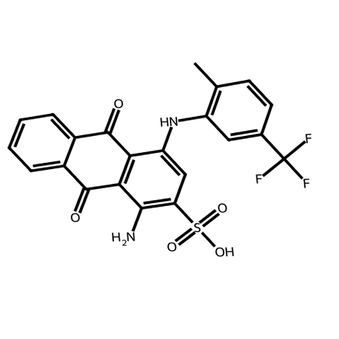 Cc1ccc(C(F)(F)F)cc1Nc1cc(S(=O)(=O)O)c(N)c2c1C(=O)c1ccccc1C2=O